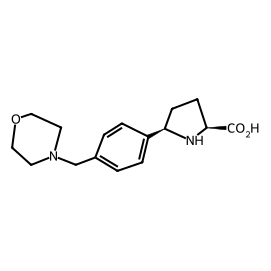 O=C(O)[C@@H]1CC[C@H](c2ccc(CN3CCOCC3)cc2)N1